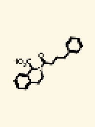 O=C(O)C1c2ccccc2CCN1C(=O)CCCc1ccccc1